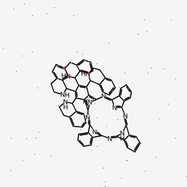 c1ccc2c(c1)CCNC2c1c(C2NCCc3ccccc32)c(C2NCCc3ccccc32)c2c3nc4nc(nc5[nH]c(nc6nc(nc([nH]3)c2c1C1NCCc2ccccc21)-c1ccccc1-6)c1ccccc51)-c1ccccc1-4